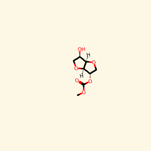 COC(=O)O[C@H]1CO[C@H]2[C@@H]1OC[C@H]2O